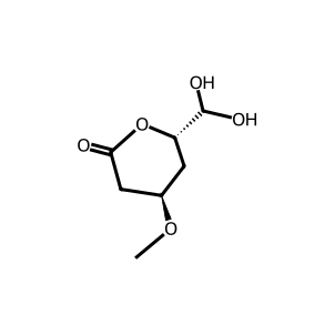 CO[C@H]1CC(=O)O[C@H](C(O)O)C1